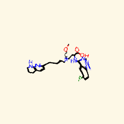 COCCN(CCCCc1ccc2c(n1)NCCC2)CCC(Nc1ncnc2ccc(F)cc12)C(=O)O